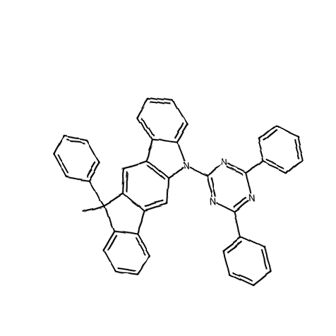 CC1(c2ccccc2)c2ccccc2-c2cc3c(cc21)c1ccccc1n3-c1nc(-c2ccccc2)nc(-c2ccccc2)n1